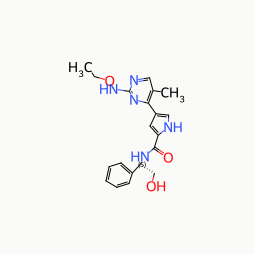 CCONc1ncc(C)c(-c2c[nH]c(C(=O)N[C@H](CO)c3ccccc3)c2)n1